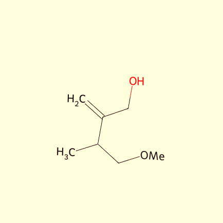 C=C(CO)C(C)COC